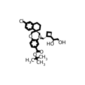 CC(C)(C)OC(=O)c1ccc2c(c1)N(C[C@@H]1CC[C@H]1[C@H](O)CO)C[C@@]1(CCCc3cc(Cl)ccc31)CO2